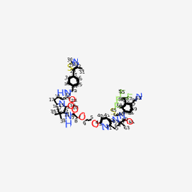 Cc1nc(OCCOCC(=O)NC(C(=O)N2CCC[C@H]2C(=O)NCc2ccc(-c3scnc3C)cc2)C(C)(C)C)ccc1N1C(=S)N(c2ccc(C#N)c(C(F)(F)F)c2F)C(=O)C1(C)C